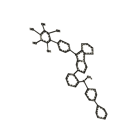 CN(c1ccc(-c2ccccc2)cc1)c1ccccc1-c1ccc2c3ccccc3n(-c3ccc(-c4c(O)c(O)c(O)c(O)c4O)cc3)c2c1